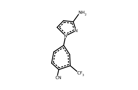 N#Cc1ccc(-n2ccc(N)n2)cc1C(F)(F)F